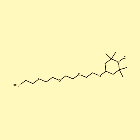 CC1(C)CC(OCCOCCOCCOCCS(=O)(=O)O)CC(C)(C)N1Cl